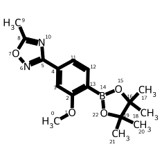 COc1cc(-c2noc(C)n2)ccc1B1OC(C)(C)C(C)(C)O1